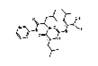 CC(C)CC(NC(=O)[C@H](CC(C)C)NC(=O)N[C@@H](CC(C)C)B(O)O)C(=O)Nc1cnccn1